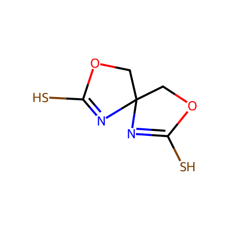 SC1=NC2(CO1)COC(S)=N2